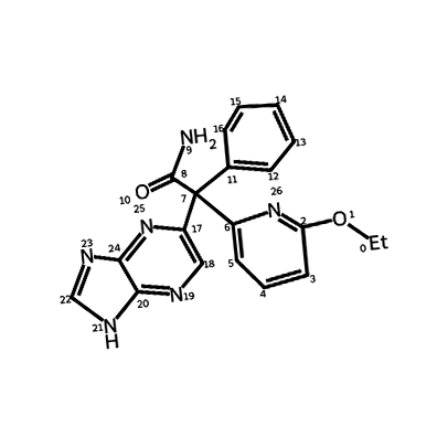 CCOc1cccc(C(C(N)=O)(c2ccccc2)c2cnc3[nH]cnc3n2)n1